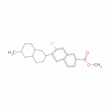 COC(=O)c1ccc2cc(C3CCC4CC(C)CCC4C3)c(F)cc2c1